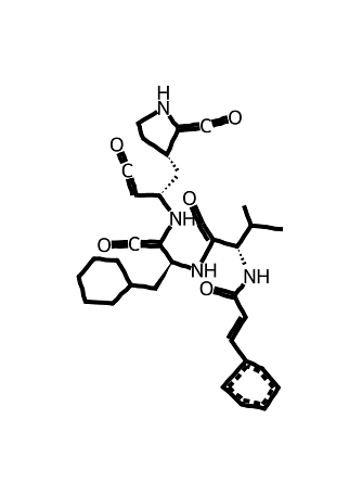 CC(C)[C@H](NC(=O)C=Cc1ccccc1)C(=C=O)N[C@@H](CC1CCCCC1)C(=C=O)N[C@H](C=C=O)C[C@@H]1CCNC1=C=O